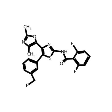 Cc1nc(C)c(-c2nc(NC(=O)c3c(F)cccc3F)sc2-c2cccc(CF)c2)o1